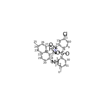 Cc1ccc(S(=O)(=O)c2ccc(Cl)cc2/N=N/c2c(N)ccc3cc(C)cc(O)c23)cc1